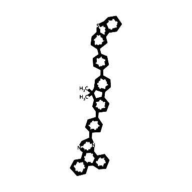 CC1(C)c2cc(-c3ccc(-c4ccc5sc6ccccc6c5c4)cc3)ccc2-c2ccc(-c3ccc(-c4cnc5c6ccccc6c6ccccc6c5n4)cc3)cc21